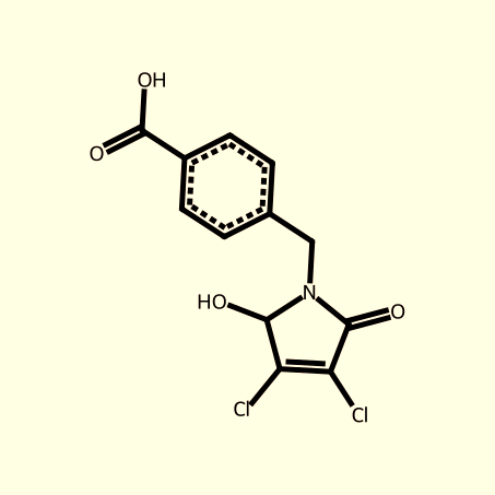 O=C(O)c1ccc(CN2C(=O)C(Cl)=C(Cl)C2O)cc1